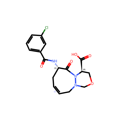 O=C(N[C@H]1C/C=C\CN2COC[C@H](C(=O)O)N2C1=O)c1cccc(Cl)c1